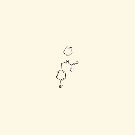 O=C(Cl)N(Cc1ccc(Br)cc1)C1CC=CC1